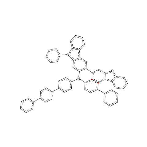 c1ccc(-c2ccc(-c3ccc(N(c4ccc(-c5ccccc5)cc4)c4cc5c(cc4-c4ccc6c(c4)oc4ccccc46)c4ccccc4n5-c4ccccc4)cc3)cc2)cc1